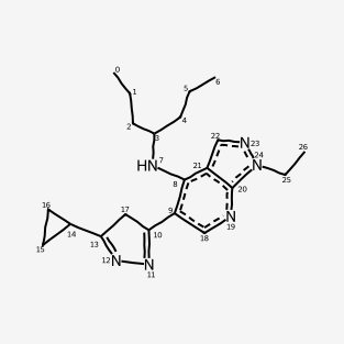 CCCC(CCC)Nc1c(C2=NN=C(C3CC3)C2)cnc2c1cnn2CC